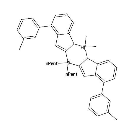 CCCCC[Si]1(CCCCC)C2=Cc3c(-c4cccc(C)c4)cccc3[CH]2[Hf]([CH3])([CH3])[CH]2C1=Cc1c(-c3cccc(C)c3)cccc12